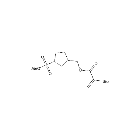 C=C(C(=O)OCC1CCC(S(=O)(=O)OC)C1)C(C)(C)C